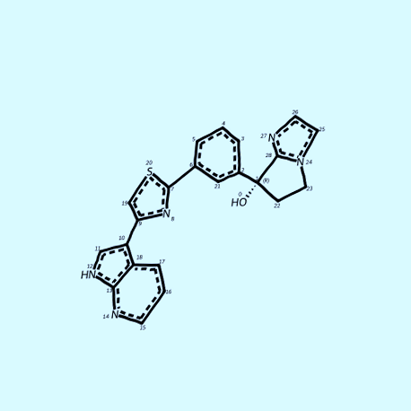 O[C@@]1(c2cccc(-c3nc(-c4c[nH]c5ncccc45)cs3)c2)CCn2ccnc21